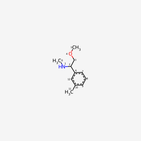 CNC(COC)c1cccc(C)c1